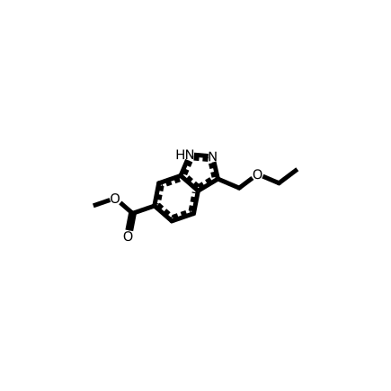 CCOCc1n[nH]c2cc(C(=O)OC)ccc12